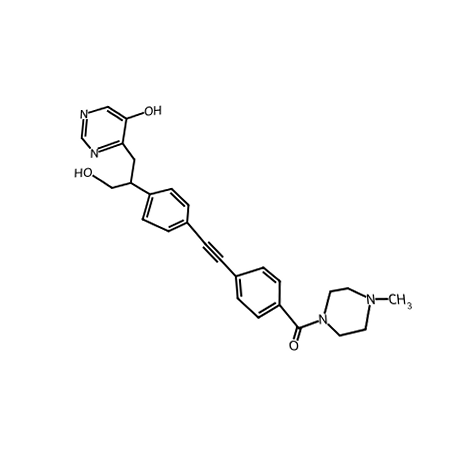 CN1CCN(C(=O)c2ccc(C#Cc3ccc(C(CO)Cc4ncncc4O)cc3)cc2)CC1